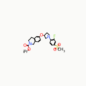 CC(C)OC(=O)N1CCc2cc(OC3CCN(c4ccc(S(C)(=O)=O)cc4F)C3)ccc2C1